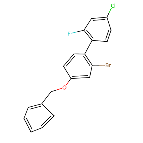 Fc1cc(Cl)ccc1-c1ccc(OCc2ccccc2)cc1Br